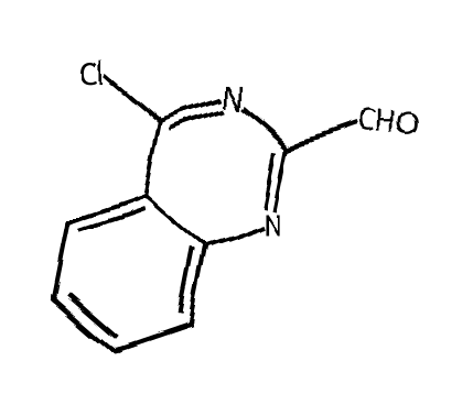 O=Cc1nc(Cl)c2ccccc2n1